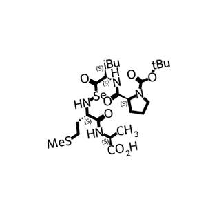 CC[C@H](C)[C@H](NC(=O)[C@@H]1CCCN1C(=O)OC(C)(C)C)C(=O)[Se]N[C@@H](CCSC)C(=O)N[C@@H](C)C(=O)O